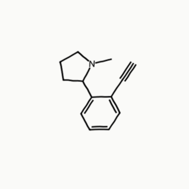 C#Cc1ccccc1C1CCCN1C